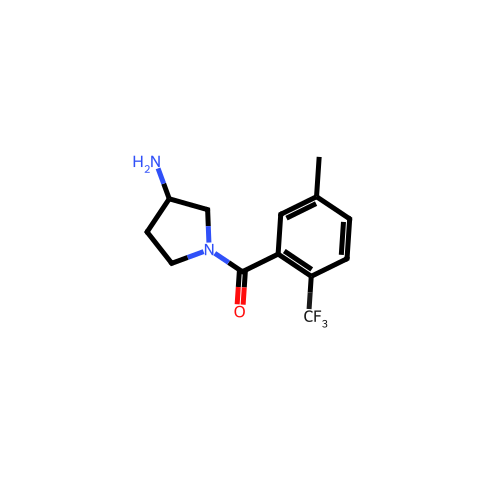 Cc1ccc(C(F)(F)F)c(C(=O)N2CCC(N)C2)c1